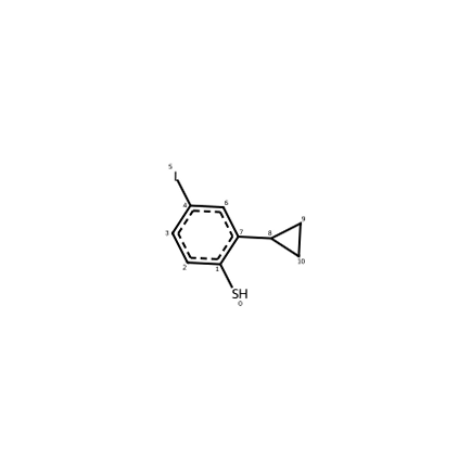 Sc1ccc(I)cc1C1CC1